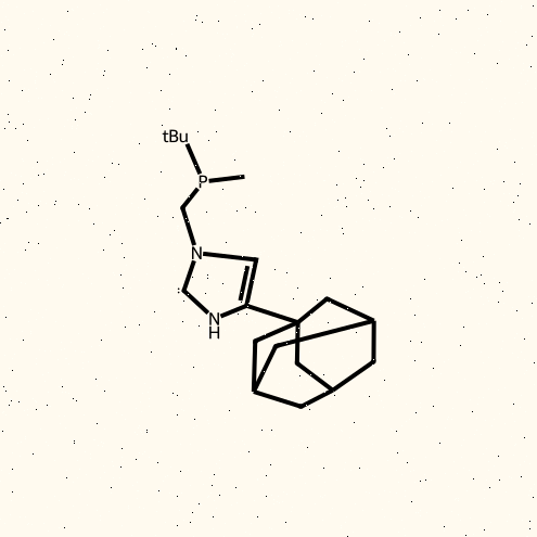 CP(CN1[C]NC(C23CC4CC(CC(C4)C2)C3)=C1)C(C)(C)C